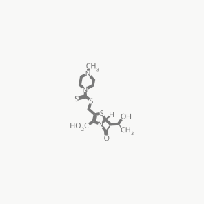 C[C@@H](O)[C@H]1C(=O)N2C(C(=O)O)=C(CSC(=S)N3CCN(C)CC3)S[C@H]12